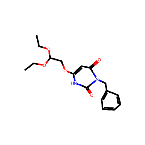 CCOC(COc1cc(=O)n(Cc2ccccc2)c(=O)[nH]1)OCC